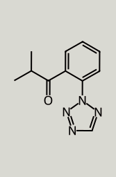 CC(C)C(=O)c1ccccc1-n1ncnn1